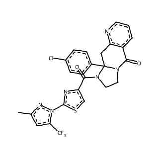 Cc1cc(C(F)(F)F)n(-c2nc(C(=O)N3CCN4C(=O)c5cccnc5CC34c3ccc(Cl)cc3)cs2)n1